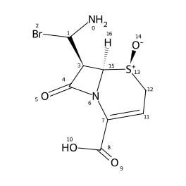 NC(Br)[C@@H]1C(=O)N2C(C(=O)O)=CC[S@+]([O-])[C@H]12